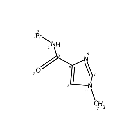 CC(C)NC(=O)c1cn(C)cn1